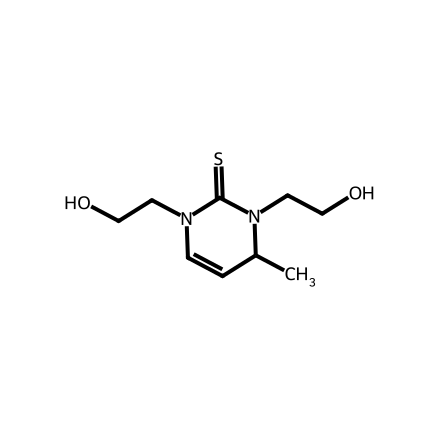 CC1C=CN(CCO)C(=S)N1CCO